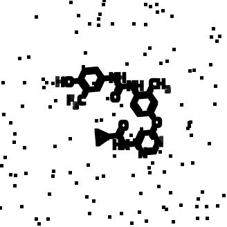 Cc1cc(Oc2cc(NC(=O)C3CC3)ncn2)ccc1NC(=O)Nc1ccc(O)c(C(F)(F)F)c1